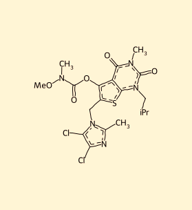 CON(C)C(=O)Oc1c(Cn2c(C)nc(Cl)c2Cl)sc2c1c(=O)n(C)c(=O)n2CC(C)C